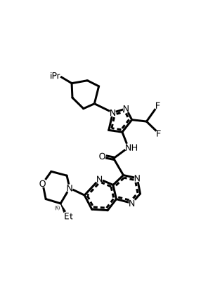 CC[C@H]1COCCN1c1ccc2ncnc(C(=O)Nc3cn(C4CCC(C(C)C)CC4)nc3C(F)F)c2n1